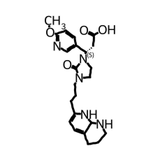 COc1ccc([C@H](CC(=O)O)N2CCN(CCCC3=CC=C4CCCNC4N3)C2=O)cn1